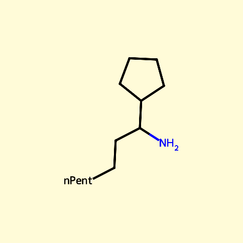 CCCCCCCC(N)C1CCCC1